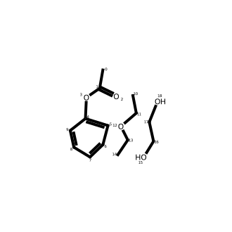 CC(=O)Oc1ccccc1.CCOCC.OCCO